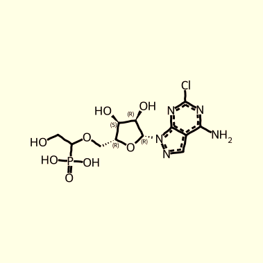 Nc1nc(Cl)nc2c1cnn2[C@@H]1O[C@H](COC(CO)P(=O)(O)O)[C@@H](O)[C@H]1O